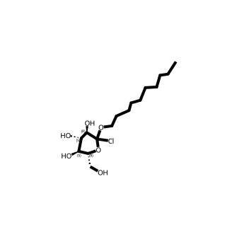 CCCCCCCCCCOC1(Cl)O[C@H](CO)[C@@H](O)[C@H](O)[C@H]1O